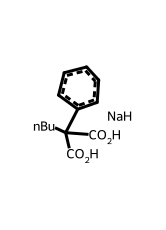 CCCCC(C(=O)O)(C(=O)O)c1ccccc1.[NaH]